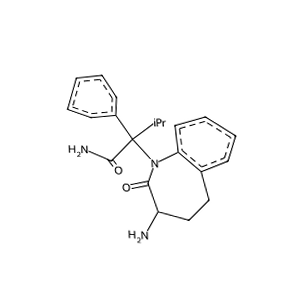 CC(C)C(C(N)=O)(c1ccccc1)N1C(=O)C(N)CCc2ccccc21